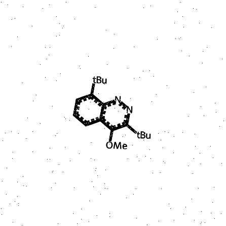 COc1c(C(C)(C)C)nnc2c(C(C)(C)C)cccc12